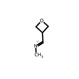 C/N=C/C1COC1